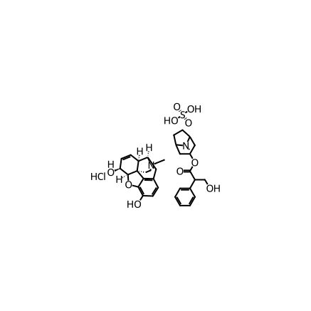 CN1C2CCC1CC(OC(=O)C(CO)c1ccccc1)C2.CN1CC[C@]23c4c5ccc(O)c4O[C@H]2[C@@H](O)C=C[C@H]3[C@H]1C5.Cl.O=S(=O)(O)O